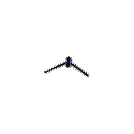 CCCCCCCCCCCCCCCCCCC[N+](CCCCCCCCCCCCCCCCCC)(c1ccccc1)c1ccccc1